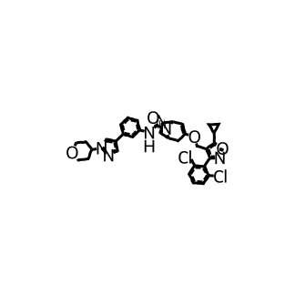 C[C@@H]1CC2CC(OCc3c(-c4c(Cl)cccc4Cl)noc3C3CC3)=CC1N2C(=O)Nc1cccc(-c2cnn(C3CCOCC3)c2)c1